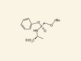 CCCCOC[P@@](=O)(N[C@@H](C)C(=O)OCC)Oc1ccccc1